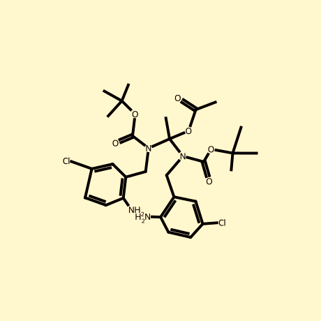 CC(=O)OC(C)(N(Cc1cc(Cl)ccc1N)C(=O)OC(C)(C)C)N(Cc1cc(Cl)ccc1N)C(=O)OC(C)(C)C